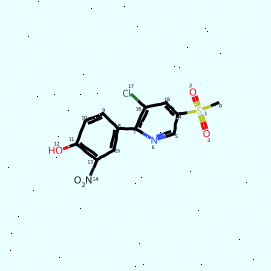 CS(=O)(=O)c1cnc(-c2ccc(O)c([N+](=O)[O-])c2)c(Cl)c1